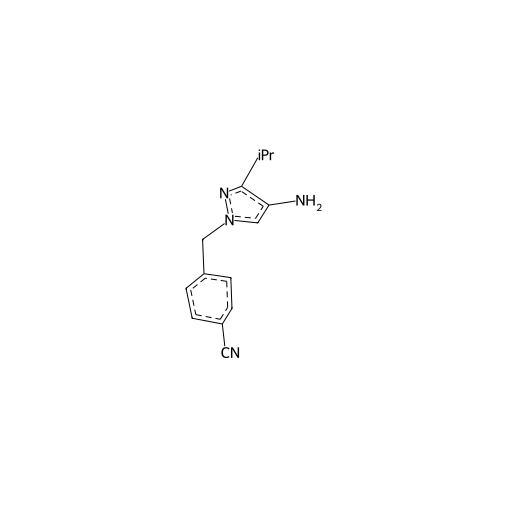 CC(C)c1nn(Cc2ccc(C#N)cc2)cc1N